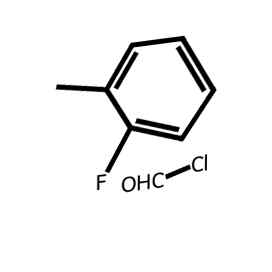 Cc1ccccc1F.O=CCl